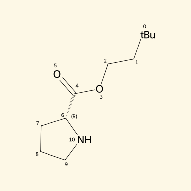 CC(C)(C)CCOC(=O)[C@H]1CCCN1